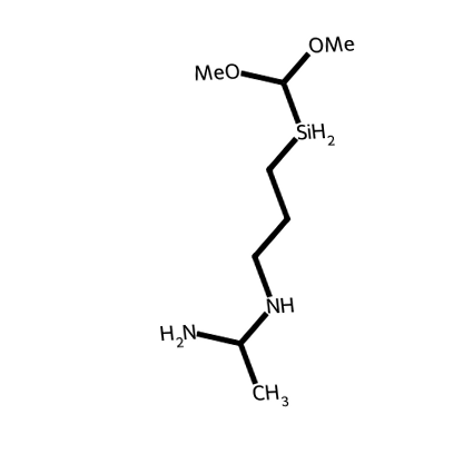 COC(OC)[SiH2]CCCNC(C)N